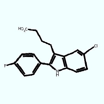 O=C(O)CCCc1c(-c2ccc(F)cc2)[nH]c2ccc(Cl)cc12